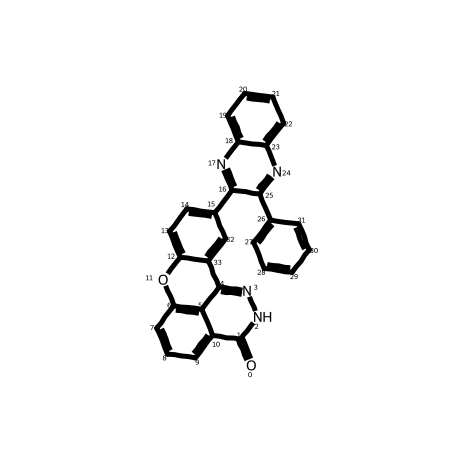 O=c1[nH]nc2c3c(cccc13)Oc1ccc(-c3nc4ccccc4nc3-c3ccccc3)cc1-2